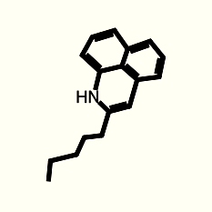 CCCCCC1=Cc2cccc3cccc(c23)N1